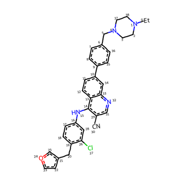 CCN1CCN(Cc2ccc(-c3ccc4c(Nc5ccc(Cc6ccoc6)c(Cl)c5)c(C#N)cnc4c3)cc2)CC1